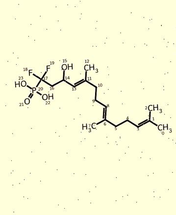 CC(C)=CCCC(C)=CCCC(C)=CC(O)CC(F)(F)P(=O)(O)O